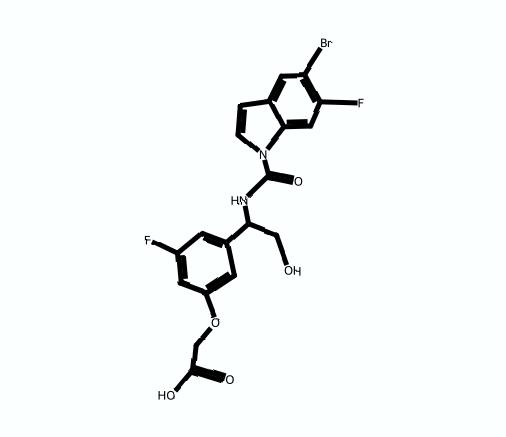 O=C(O)COc1cc(F)cc(C(CO)NC(=O)n2ccc3cc(Br)c(F)cc32)c1